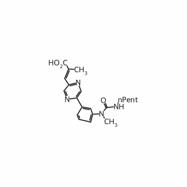 CCCCCNC(=O)N(C)c1cccc(-c2cnc(C=C(C)C(=O)O)cn2)c1